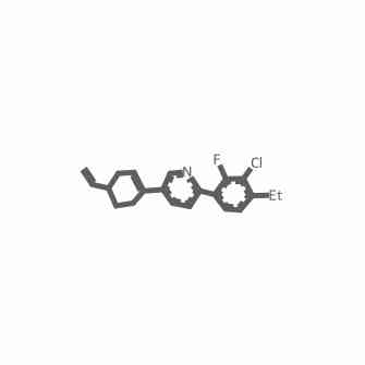 C=CC1CC=C(c2ccc(-c3ccc(CC)c(Cl)c3F)nc2)CC1